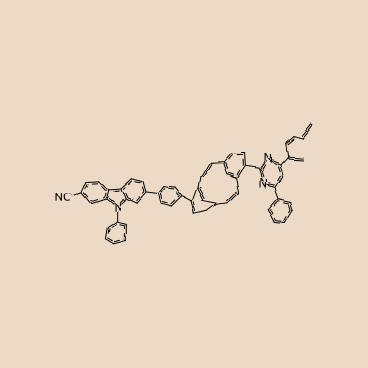 C=C/C=C\C(=C)c1cc(-c2ccccc2)nc(-c2ccc3cc2/C=C\C2C=C(/C=C\3)C(c3ccc(-c4ccc5c6ccc(C#N)cc6n(-c6ccccc6)c5c4)cc3)=CC2)n1